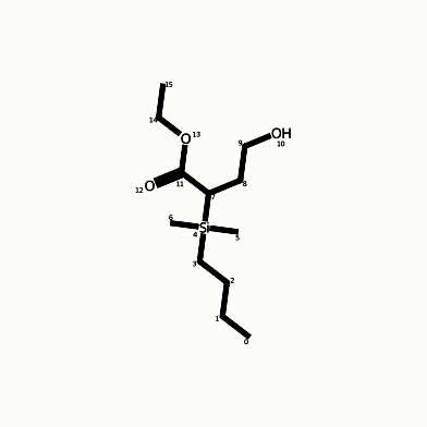 CCCC[Si](C)(C)C(CCO)C(=O)OCC